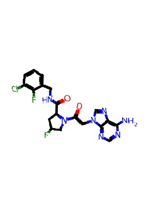 Nc1ncnc2c1ncn2CC(=O)N1CC(F)CC1C(=O)NCc1cccc(Cl)c1F